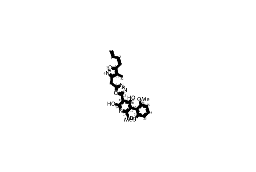 C=C/C=C\c1onc(Cc2nnc(-c3c(O)nc(CCCC)c(-c4c(OC)cccc4OC)c3O)o2)c1C